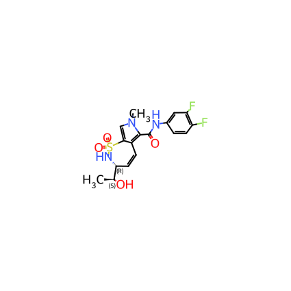 C[C@H](O)[C@H]1C=Cc2c(cn(C)c2C(=O)Nc2ccc(F)c(F)c2)S(=O)(=O)N1